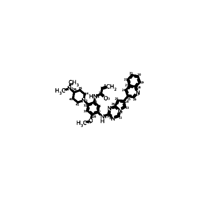 C=CC(=O)Nc1cc(Nc2ncn3cc(-c4cnc5ccccc5c4)cc3n2)c(OC)cc1N1CCC(N(C)C)CC1